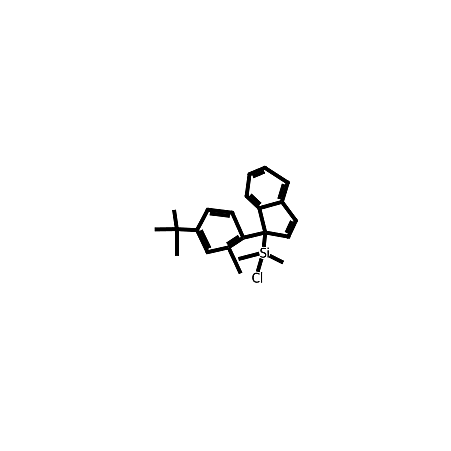 Cc1cc(C(C)(C)C)ccc1C1([Si](C)(C)Cl)C=Cc2ccccc21